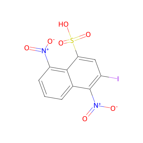 O=[N+]([O-])c1c(I)cc(S(=O)(=O)O)c2c([N+](=O)[O-])cccc12